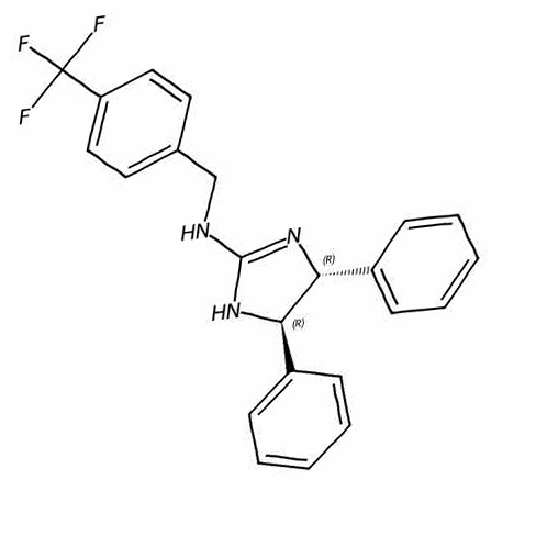 FC(F)(F)c1ccc(CNC2=N[C@H](c3ccccc3)[C@@H](c3ccccc3)N2)cc1